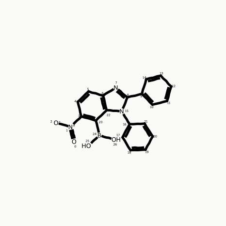 O=[N+]([O-])c1ccc2nc(-c3ccccc3)n(-c3ccccc3)c2c1B(O)O